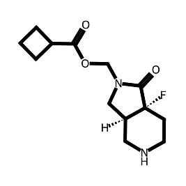 O=C(OCN1C[C@@H]2CNCC[C@]2(F)C1=O)C1CCC1